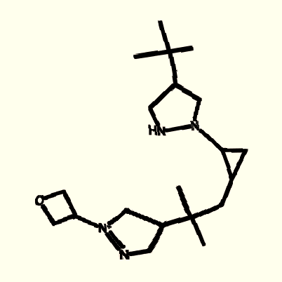 CC(C)(C)C1CNN(C2CC2CC(C)(C)C2CN=[N+](C3COC3)C2)C1